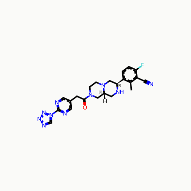 Cc1c([C@@H]2CN3CCN(C(=O)Cc4cnc(-n5cnnn5)nc4)C[C@H]3CN2)ccc(F)c1C#N